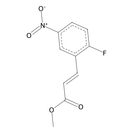 COC(=O)C=Cc1cc([N+](=O)[O-])ccc1F